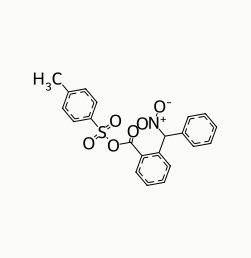 Cc1ccc(S(=O)(=O)OC(=O)c2ccccc2C(c2ccccc2)[N+](=O)[O-])cc1